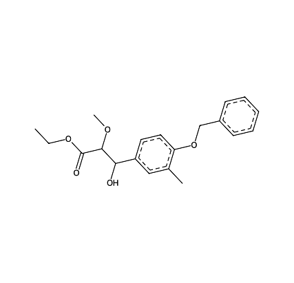 CCOC(=O)C(OC)C(O)c1ccc(OCc2ccccc2)c(C)c1